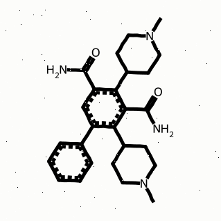 CN1CCC(c2c(C(N)=O)cc(-c3ccccc3)c(C3CCN(C)CC3)c2C(N)=O)CC1